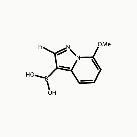 COc1cccc2c(B(O)O)c(C(C)C)nn12